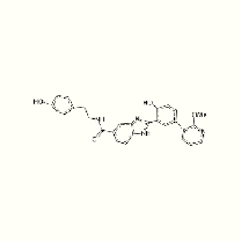 COc1ncccc1-c1ccc(O)c(-c2nc3cc(C(=O)NCCc4ccc(O)cc4)ccc3[nH]2)c1